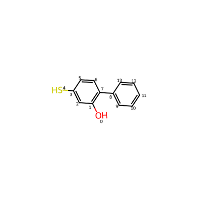 Oc1cc(S)ccc1-c1ccccc1